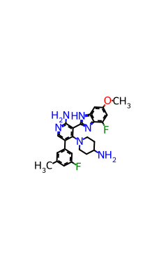 COc1cc(F)c2nc(-c3c(N)ncc(-c4cc(C)cc(F)c4)c3N3CCC(N)CC3)[nH]c2c1